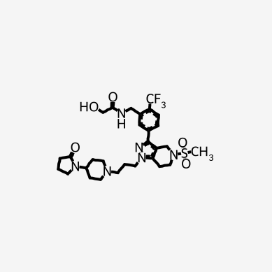 CS(=O)(=O)N1CCc2c(c(-c3ccc(C(F)(F)F)c(CNC(=O)CO)c3)nn2CCCN2CCC(N3CCCC3=O)CC2)C1